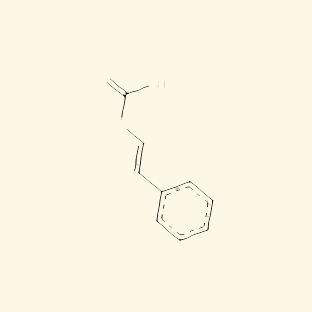 O=C(S)OC=Cc1ccccc1